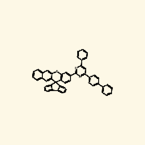 c1ccc(-c2ccc(-c3cc(-c4ccccc4)nc(-c4ccc5c(c4)Sc4cc6ccccc6cc4C54c5ccccc5-c5ccccc54)n3)cc2)cc1